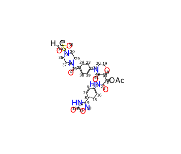 CC(=O)O[C@@H](C(=O)Nc1ccc(-c2noc(=O)[nH]2)cc1)[C@H]1OCCN(c2ccc(C(=O)N3CCN(S(C)(=O)=O)CC3)cc2)C1=O